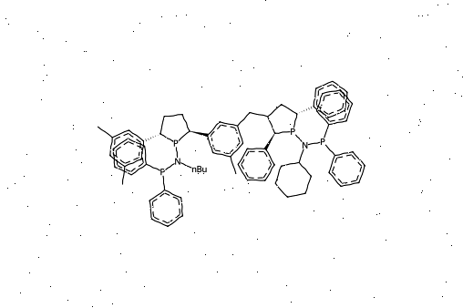 CCCCN(P(c1ccccc1)c1ccccc1)P1[C@H](c2cc(C)cc(C)c2)CC[C@H]1c1cc(C)cc(CC2C[C@H](c3ccccc3)P(N(C3CCCCC3)P(c3ccccc3)c3ccccc3)[C@H]2c2ccccc2)c1